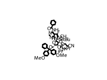 COc1ccc(C(OC[C@@H]2O[C@H](n3cc(F)c4c(NC(=O)c5ccccc5)ncnc43)[C@@H](O[Si](C)(C)C(C)(C)C)[C@H]2OP(OCCC#N)N(C(C)C)C(C)C)(c2ccccc2)c2ccc(OC)cc2)cc1